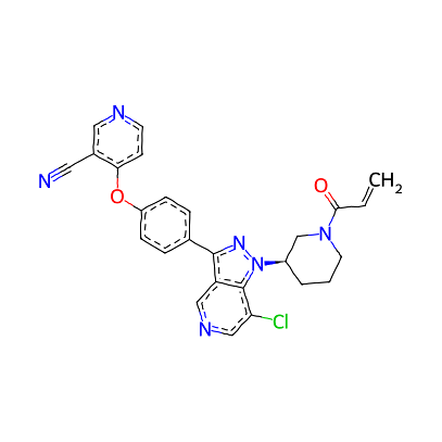 C=CC(=O)N1CCC[C@@H](n2nc(-c3ccc(Oc4ccncc4C#N)cc3)c3cncc(Cl)c32)C1